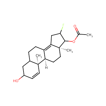 CC(=O)OC1C(F)CC2=C3CCC4CC(O)C=C[C@]4(C)[C@@H]3CC[C@@]21C